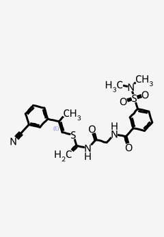 C=C(NC(=O)CNC(=O)c1cccc(S(=O)(=O)N(C)C)c1)S/C=C(\C)c1cccc(C#N)c1